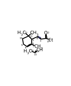 CCC(=O)/C=C/C1C(C)=CCCC1(C)C.[CH]=CC